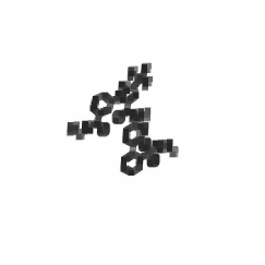 NC(=O)c1cccc(-n2nc(C(F)(F)F)cc2C(=O)Nc2ccc(-c3ccccc3S(N)(=O)=O)cn2)c1